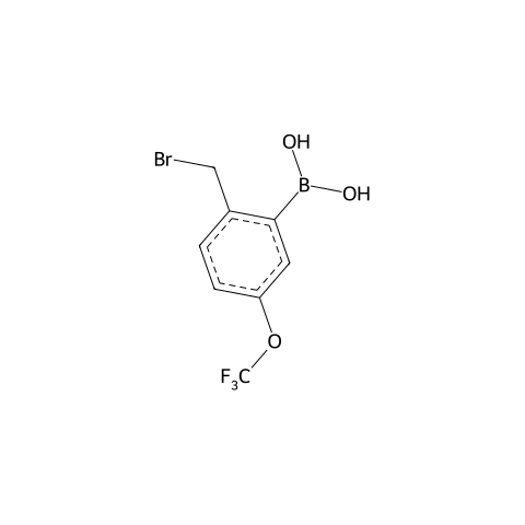 OB(O)c1cc(OC(F)(F)F)ccc1CBr